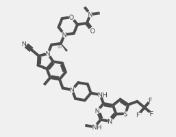 CNc1nc(NC2CCN(Cc3ccc4c(cc(C#N)n4C[C@H](C)N4CCOC(C(=O)N(C)C)C4)c3C)CC2)c2cc(CC(F)(F)F)sc2n1